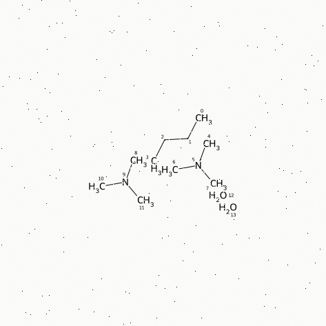 CCCC.CN(C)C.CN(C)C.O.O